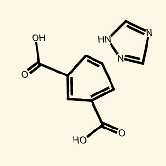 O=C(O)c1cccc(C(=O)O)c1.c1nc[nH]n1